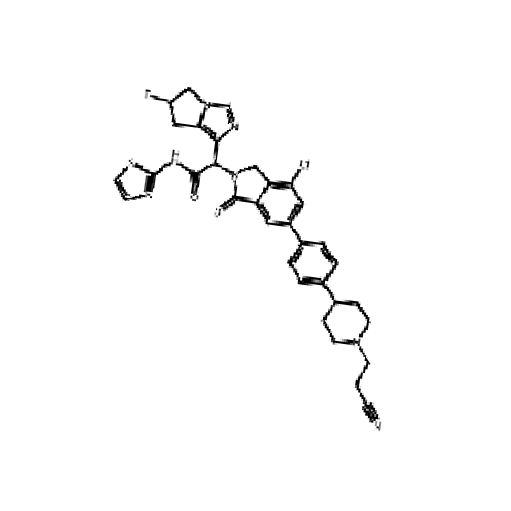 N#CCCN1CCC(c2ccc(-c3cc(Cl)c4c(c3)C(=O)N(C(C(=O)Nc3nccs3)c3ncn5c3CC(F)C5)C4)cc2)CC1